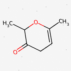 CC1=CCC(=O)C(C)O1